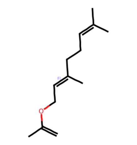 C=C(C)OC/C=C(\C)CCC=C(C)C